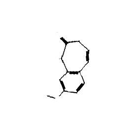 COc1ccc2c(c1)CC(=O)CC=C2